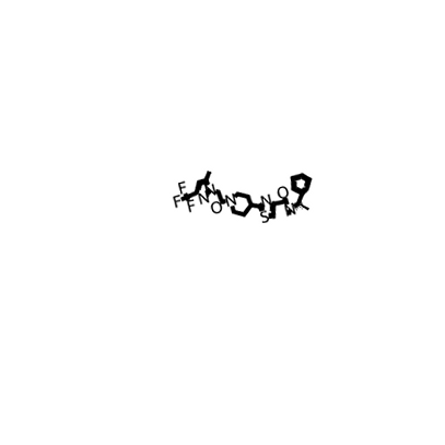 Cc1cc(C(F)(F)F)nn1CC(=O)N1CCC(c2nc(C(=O)N(C)[C@H](C)c3ccccc3)cs2)CC1